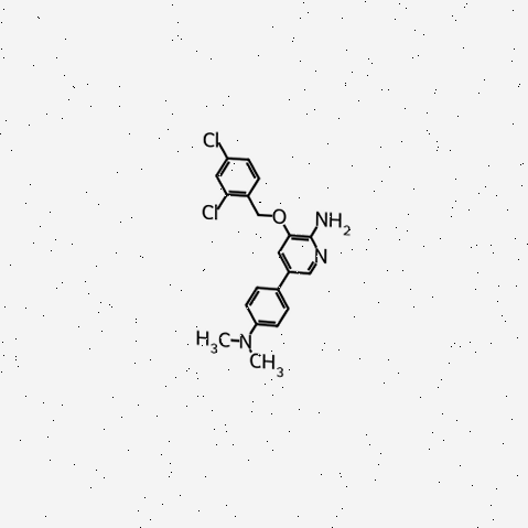 CN(C)c1ccc(-c2cnc(N)c(OCc3ccc(Cl)cc3Cl)c2)cc1